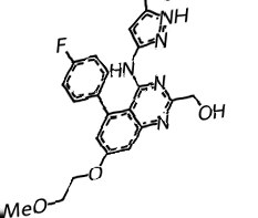 COCCOc1cc(-c2ccc(F)cc2)c2c(Nc3cc(C)[nH]n3)nc(CO)nc2c1